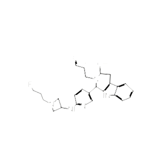 C=CCCN1C(C)Cc2c([nH]c3ccccc23)C1c1ccc(NC2CN(CCCF)C2)nc1